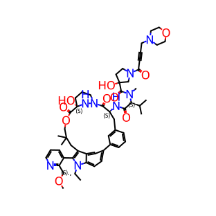 CCn1c(-c2cccnc2[C@H](C)OC)c2c3cc(ccc31)-c1cccc(c1)C[C@H](NC(=O)[C@H](C(C)C)N(C)C(=O)C1(O)CCN(C(=O)C#CCN3CCOCC3)C1)C(=O)N1CCC[C@@](O)(N1)C(=O)OCC(C)(C)C2